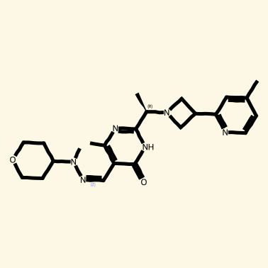 Cc1ccnc(C2CN([C@H](C)c3nc(C)c(/C=N\N(C)C4CCOCC4)c(=O)[nH]3)C2)c1